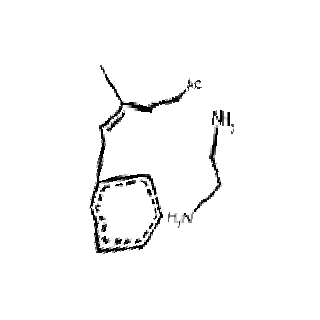 CC(=O)CC(C)=Cc1ccccc1.NCCN